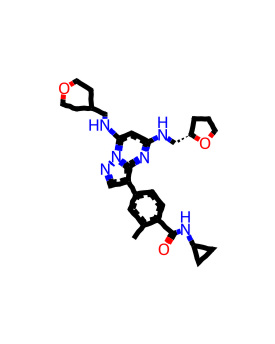 Cc1cc(-c2cnn3c(NCC4CCOCC4)cc(NC[C@@H]4CCCO4)nc23)ccc1C(=O)NC1CC1